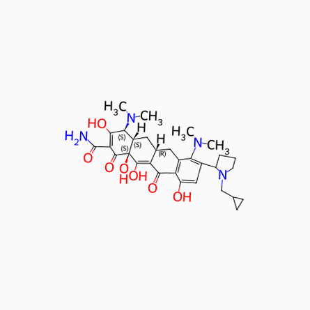 CN(C)c1c(C2CCCN2CC2CC2)cc(O)c2c1C[C@H]1C[C@H]3[C@H](N(C)C)C(O)=C(C(N)=O)C(=O)[C@@]3(O)C(O)=C1C2=O